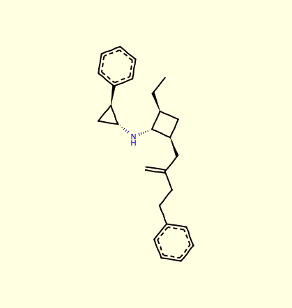 C=C(CCc1ccccc1)C[C@@H]1C[C@H](CC)[C@H]1N[C@@H]1C[C@H]1c1ccccc1